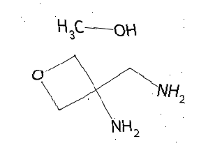 CO.NCC1(N)COC1